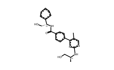 Cc1cnc(N[C@@H](C)CO)nc1-c1ccc(C(=O)N[C@H](CO)c2ccccc2)cc1